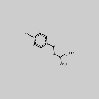 CCOC(=O)C(CCc1ccc(F)cc1)C(=O)OCC